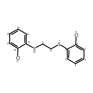 Clc1ccccc1SCCSc1ccccc1Cl